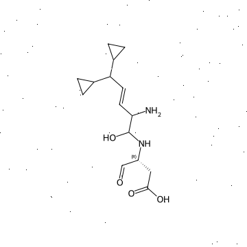 NC(C=CC(C1CC1)C1CC1)C(O)N[C@@H](C=O)CC(=O)O